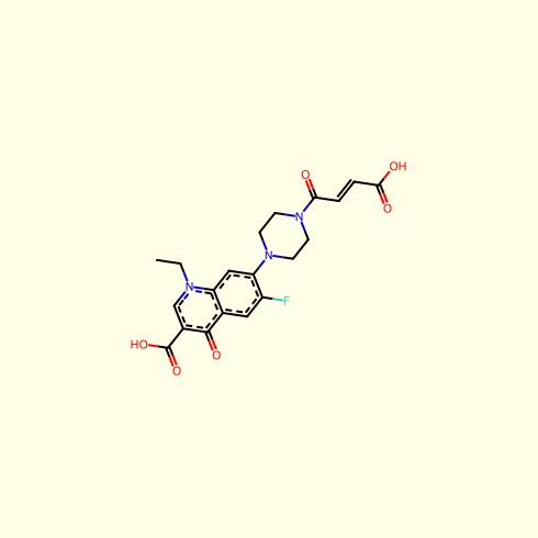 CCn1cc(C(=O)O)c(=O)c2cc(F)c(N3CCN(C(=O)C=CC(=O)O)CC3)cc21